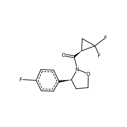 O=C([C@H]1CC1(F)F)N1OCC[C@H]1c1ccc(F)cc1